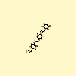 OCc1ccc(CCc2ccc(OCc3ccccc3)nn2)cn1